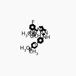 CN(C)C1CCN(c2ccc(Nc3ncc4ccn(Cc5cc(F)ccc5N(C)S(C)(=O)=O)c4n3)cc2)CC1